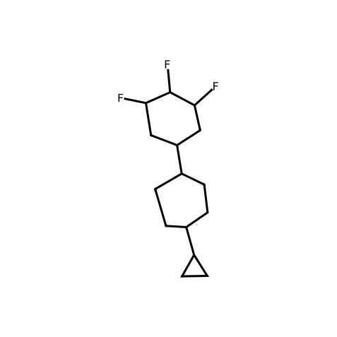 FC1CC(C2CCC(C3CC3)CC2)CC(F)C1F